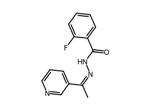 CC(=NNC(=O)c1ccccc1F)c1cccnc1